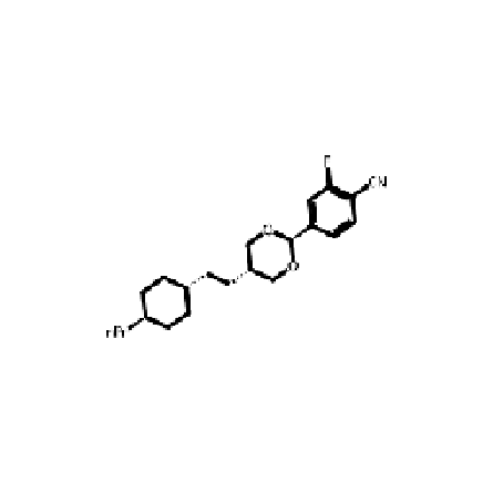 CCC[C@H]1CC[C@H](CC[C@H]2CO[C@H](c3ccc(C#N)c(F)c3)OC2)CC1